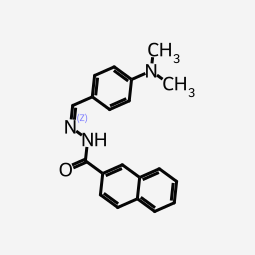 CN(C)c1ccc(/C=N\NC(=O)c2ccc3ccccc3c2)cc1